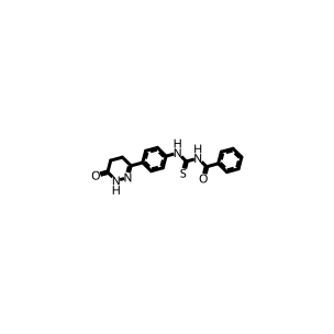 O=C1CCC(c2ccc(NC(=S)NC(=O)c3ccccc3)cc2)=NN1